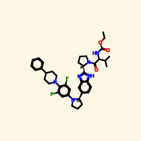 CCOC(=O)NC(C(=O)N1CCC[C@H]1c1nc2cc([C@H]3CCCN3c3cc(F)c(N4CCC(c5ccccc5)CC4)c(F)c3)ccc2[nH]1)C(C)C